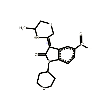 CC1COC/C(=C2/C(=O)N(C3CCOCC3)c3ccc([N+](=O)[O-])cc32)N1